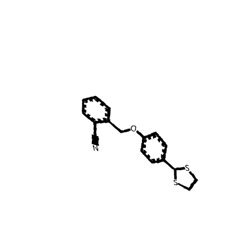 N#Cc1ccccc1COc1ccc(C2SCCS2)cc1